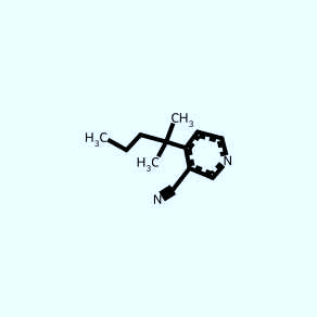 CCCC(C)(C)c1ccncc1C#N